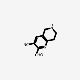 N#Cc1cc2c(nc1C=O)CCNC2